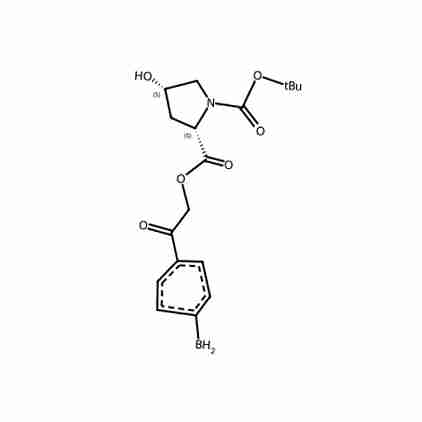 Bc1ccc(C(=O)COC(=O)[C@@H]2C[C@H](O)CN2C(=O)OC(C)(C)C)cc1